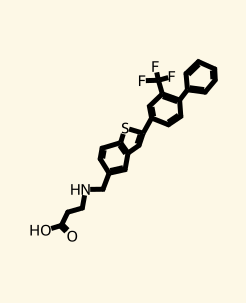 O=C(O)CCNCc1ccc2sc(-c3ccc(-c4ccccc4)c(C(F)(F)F)c3)cc2c1